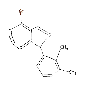 Cc1cccc(C2C=Cc3c(Br)cccc32)c1C